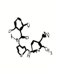 Cc1nc(Nc2cc(NC(=O)c3c(Cl)cccc3Cl)ccn2)ccc1C#N